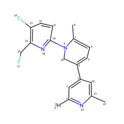 [2H]c1cc(C2=CC=C(C)N(c3ccc(F)c(CF)n3)C2)cc(C)n1